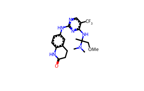 COCC(C)(Nc1nc(Nc2ccc3c(c2)CCC(=O)N3)ncc1C(F)(F)F)N(C)C